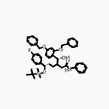 CC(C)(C)[Si](C)(C)O[C@@H](CCC(CC(=O)Nc1ccccc1)[C@@H](O)c1ccc(OCc2ccccc2)cc1OCc1ccccc1)c1ccc(F)cc1